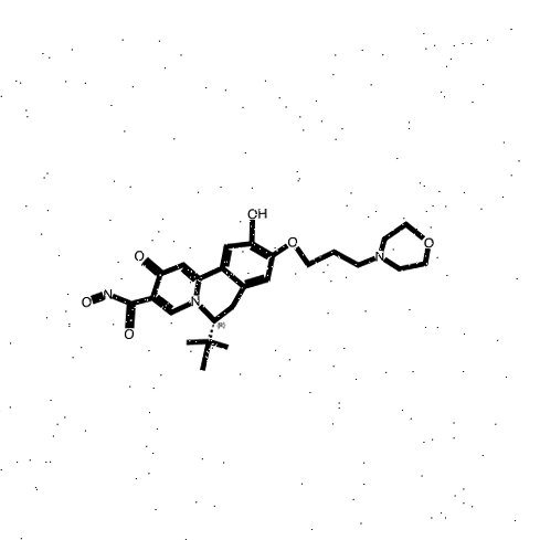 CC(C)(C)[C@H]1Cc2cc(OCCCN3CCOCC3)c(O)cc2-c2cc(=O)c(C(=O)N=O)cn21